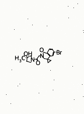 C[C@@]1(O)CCN(C(=O)CN2CC3(CC3)c3cc(Br)ccc3C2=O)C1